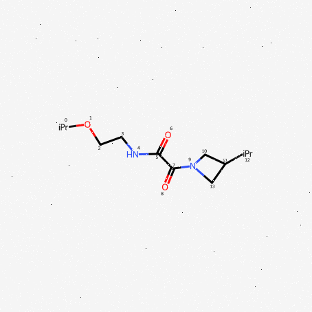 CC(C)OCCNC(=O)C(=O)N1CC(C(C)C)C1